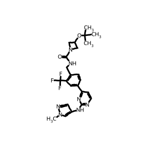 Cn1cc(Nc2nccc(-c3ccc(CNC(=O)N4CC(OC(C)(C)C)C4)c(C(F)(F)F)c3)n2)cn1